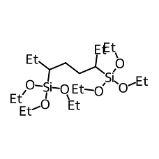 CCO[Si](OCC)(OCC)C(CC)CCC(CC)[Si](OCC)(OCC)OCC